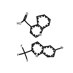 FC(F)(F)c1ccc2cc(Br)ccc2n1.O=C(O)c1ccnc2ccccc12